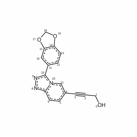 OCC#Cc1ccc2nnc(-c3ccc4c(c3)OCO4)n2c1